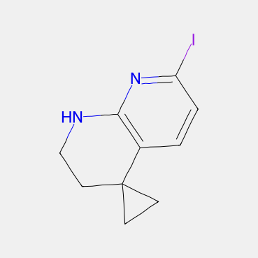 Ic1ccc2c(n1)NCCC21CC1